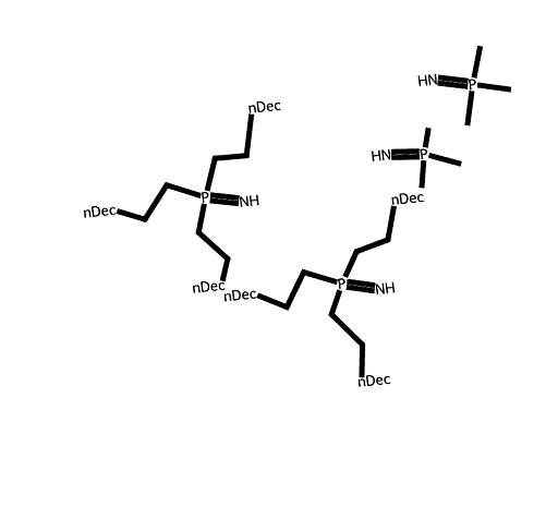 CCCCCCCCCCCCP(=N)(CCCCCCCCCCCC)CCCCCCCCCCCC.CCCCCCCCCCCCP(=N)(CCCCCCCCCCCC)CCCCCCCCCCCC.CP(C)(C)=N.CP(C)(C)=N